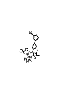 COC(=O)C[C@@H]1N=C(c2ccc(-c3cccc(C#N)c3)cc2)c2c(sc(C)c2C)-n2c(C)nnc21